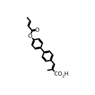 CC=CC(=O)Oc1ccc(-c2ccc(C=C(C)C(=O)O)cc2)cc1